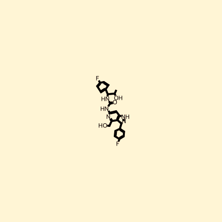 CC(O)C(NC(=O)Nc1cc2[nH]nc(-c3ccc(F)cc3)c2c(CO)n1)c1ccc(F)cc1